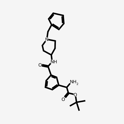 CC(C)(C)OC(=O)C(N)c1cccc(C(=O)NC2CCN(Cc3ccccc3)CC2)c1